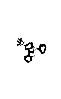 CC1(C)OB(c2ccc3c(c2)c2c4ccccc4oc2n3-c2ccccc2)OC1(C)C